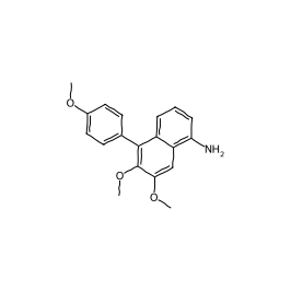 COc1ccc(-c2c(OC)c(OC)cc3c(N)cccc23)cc1